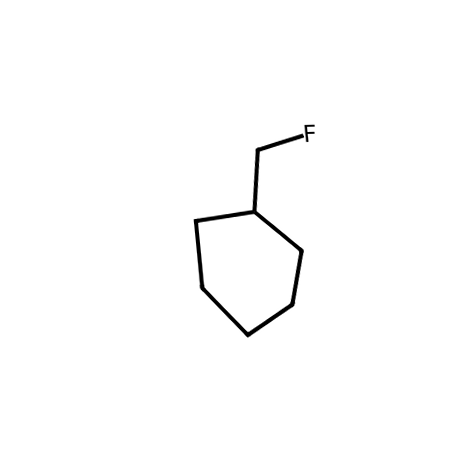 FCC1CCCCC1